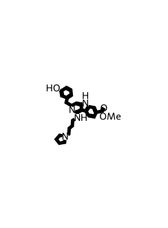 COC(=O)c1ccc2c(c1)[nH]c1cc(Cc3cccc(O)c3)nc(NCCCCN3CCCC3)c12